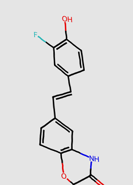 O=C1COc2ccc(C=Cc3ccc(O)c(F)c3)cc2N1